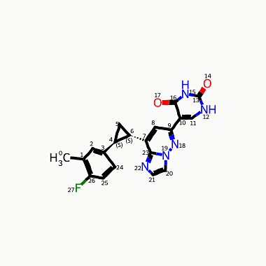 Cc1cc([C@H]2C[C@@H]2c2cc(-c3c[nH]c(=O)[nH]c3=O)nn3ccnc23)ccc1F